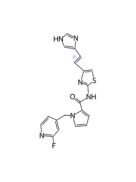 O=C(Nc1nc(/C=C/c2c[nH]cn2)cs1)c1cccn1Cc1ccnc(F)c1